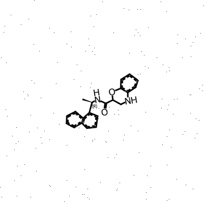 C[C@@H](NC(=O)C1CNc2ccccc2O1)c1cccc2ccccc12